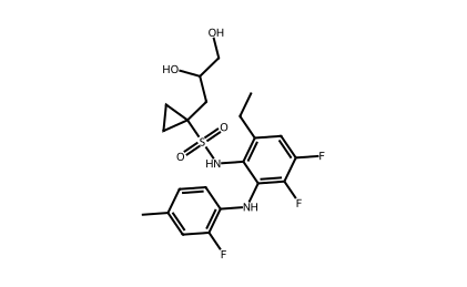 CCc1cc(F)c(F)c(Nc2ccc(C)cc2F)c1NS(=O)(=O)C1(CC(O)CO)CC1